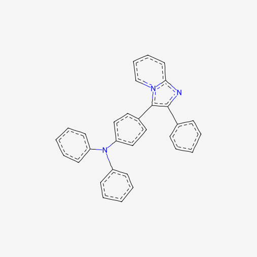 c1ccc(-c2nc3ccccn3c2-c2ccc(N(c3ccccc3)c3ccccc3)cc2)cc1